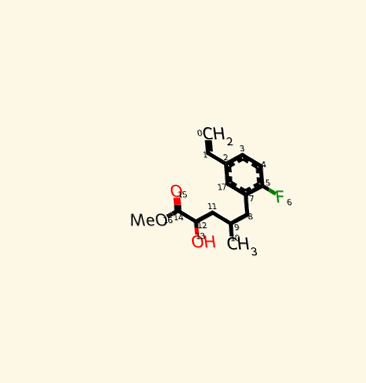 C=Cc1ccc(F)c(CC(C)CC(O)C(=O)OC)c1